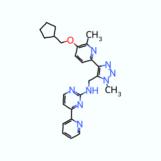 Cc1nc(-c2nnn(C)c2CNc2nccc(-c3ccccn3)n2)ccc1OCC1CCCC1